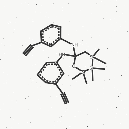 C#Cc1cccc(NC2(Nc3cccc(C#C)c3)C[Si](C)(C)[Si](C)(C)[Si](C)(C)O2)c1